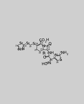 Nc1nc(/C(=N/O)C(=O)N[C@@H]2C(=O)N3C(C(=O)O)=C(SCSc4nncs4)CC[C@H]23)cs1